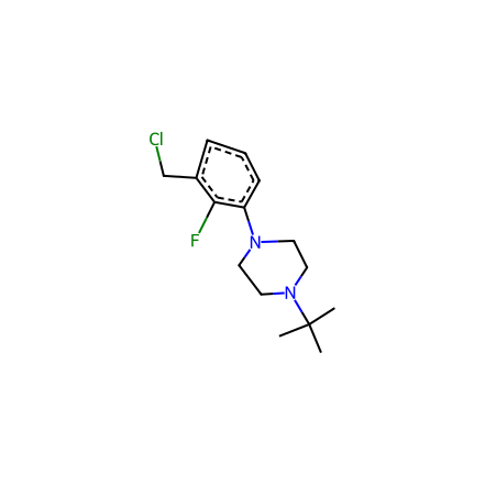 CC(C)(C)N1CCN(c2cccc(CCl)c2F)CC1